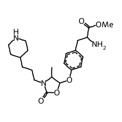 COC(=O)C(N)Cc1ccc(OC2OC(=O)N(CCCC3CCNCC3)C2C)cc1